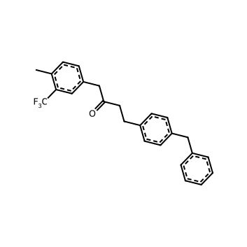 Cc1ccc(CC(=O)CCc2ccc(Cc3ccccc3)cc2)cc1C(F)(F)F